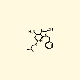 CC(C)CSc1nc(N)c2nc(O)n(Cc3ccccc3)c2n1